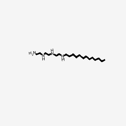 CCCCCCCCCCCCCNCCNCCNCCN